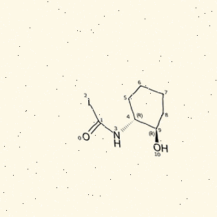 O=C(I)N[C@@H]1CCCC[C@H]1O